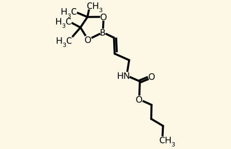 CCCCOC(=O)NCC=CB1OC(C)(C)C(C)(C)O1